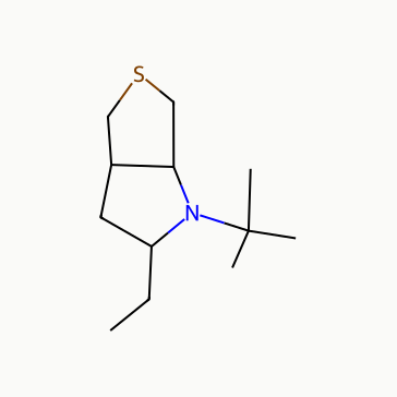 CCC1CC2CSCC2N1C(C)(C)C